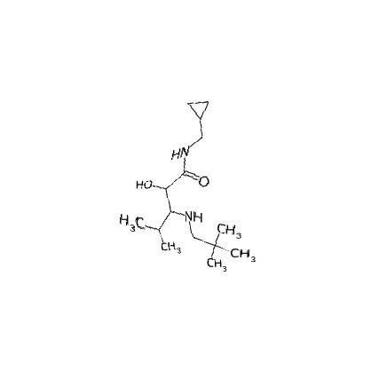 CC(C)C(NCC(C)(C)C)C(O)C(=O)NCC1CC1